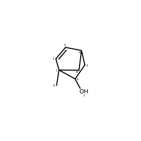 CC12C=CC(CC1O)C2